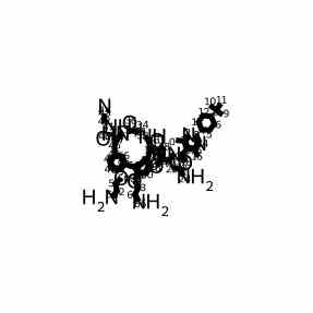 Cc1nc([C@H]2CC[C@@H](C(C)(C)C)CC2)nc(C)c1C(=O)N[C@@H](CCN)C(=O)N(C)[C@@H]1C(=O)N[C@@H](C)C(=O)N[C@H](C(=O)NCC#N)Cc2ccc(OCCN)c(c2)-c2cc1ccc2OCCN